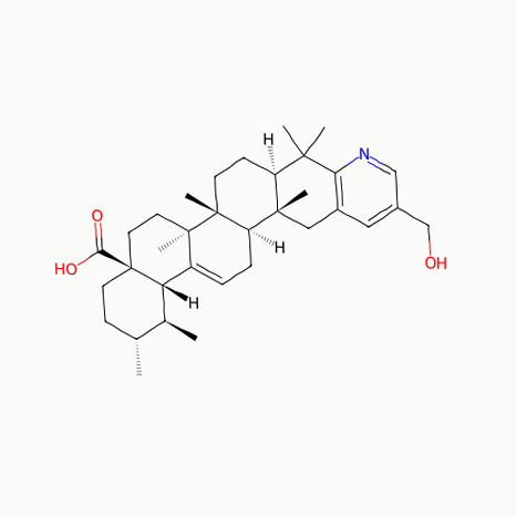 C[C@H]1[C@H](C)CC[C@]2(C(=O)O)CC[C@]3(C)C(=CC[C@@H]4[C@@]5(C)Cc6cc(CO)cnc6C(C)(C)[C@@H]5CC[C@]43C)[C@H]12